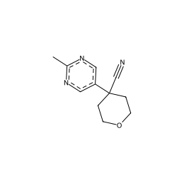 Cc1ncc(C2(C#N)CCOCC2)cn1